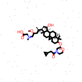 COC(C[C@@H](C)[C@H]1C[C@H](O)[C@@]2(C)C3CC[C@H]4C(C)(C)C(O[C@H]5CN(C(=O)CC6CC6)CCO5)CCC45CC35CCC12C)CN(C)CC(=O)O